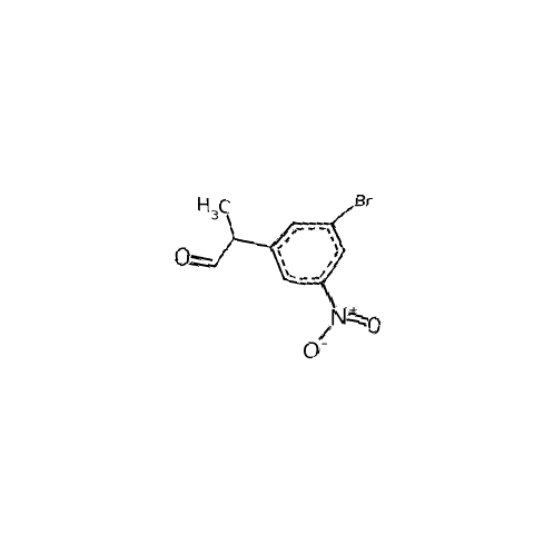 CC(C=O)c1cc(Br)cc([N+](=O)[O-])c1